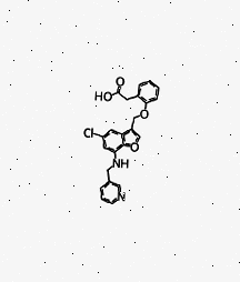 O=C(O)Cc1ccccc1OCc1coc2c(NCc3cccnc3)cc(Cl)cc12